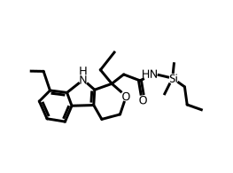 CCC[Si](C)(C)NC(=O)CC1(CC)OCCc2c1[nH]c1c(CC)cccc21